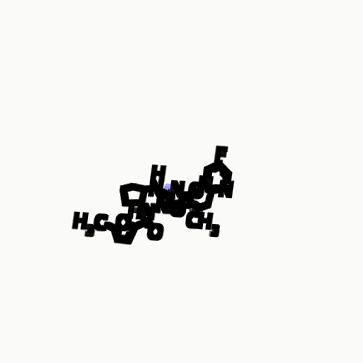 Cc1ccc(C(=O)NN/C(=N\S(=O)(=O)[C@H](C)Cc2ncc(F)cn2)NC2CCCC2)o1